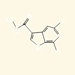 CNC(=O)c1c[nH]c2c(Br)nc(Cl)cc12